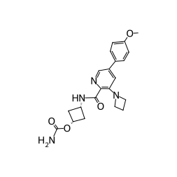 COc1ccc(-c2cnc(C(=O)N[C@H]3C[C@@H](OC(N)=O)C3)c(N3CCC3)c2)cc1